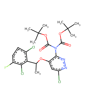 CC(Oc1cc(Cl)nnc1N(C(=O)OC(C)(C)C)C(=O)OC(C)(C)C)c1c(Cl)ccc(F)c1Cl